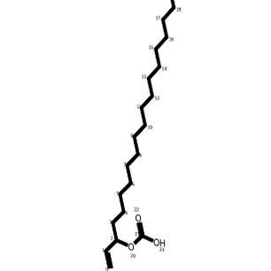 C=CC(CCCCCCCCCCCCCCCCC)OC(=O)O